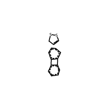 C1=CSSC1.c1ccc2c(c1)-c1ccccc1-2